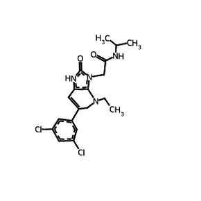 CCN1CC(c2cc(Cl)cc(Cl)c2)=Cc2[nH]c(=O)n(CC(=O)NC(C)C)c21